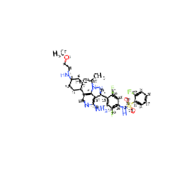 COCCNC1CCC(c2cnc(N)c3c(-c4cc(F)c(NS(=O)(=O)c5ccccc5F)cc4F)nn(C(C)C)c23)CC1